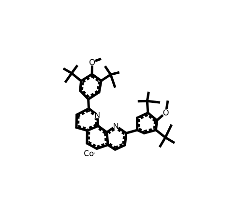 COc1c(C(C)(C)C)cc(-c2ccc3ccc4ccc(-c5cc(C(C)(C)C)c(OC)c(C(C)(C)C)c5)nc4c3n2)cc1C(C)(C)C.[Co]